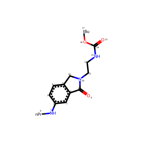 CCCNc1ccc2c(c1)C(=O)N(CCNC(=O)OC(C)(C)C)C2